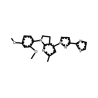 COc1ccc(N2CCc3c(-n4ccc(-c5nccs5)n4)cc(C)nc32)c(OC)c1